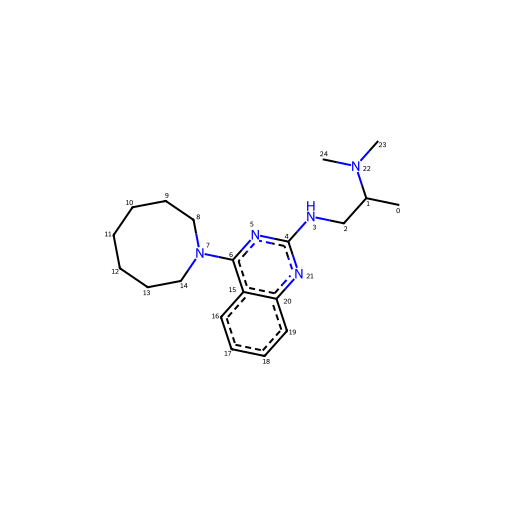 CC(CNc1nc(N2CCCCCCC2)c2ccccc2n1)N(C)C